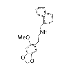 COc1cc2c(cc1CCNCc1cccc3ccccc13)OCO2